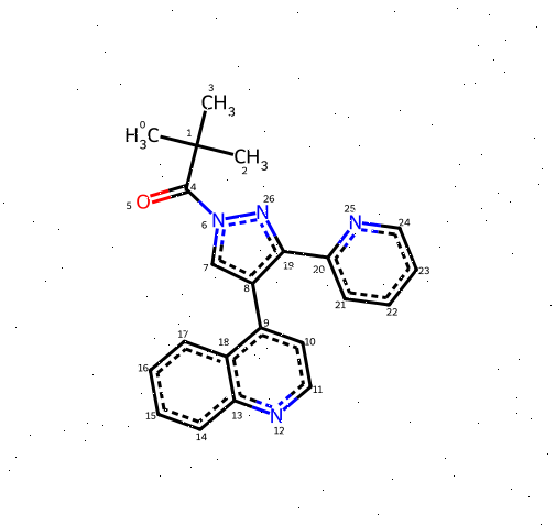 CC(C)(C)C(=O)n1cc(-c2ccnc3ccccc23)c(-c2ccccn2)n1